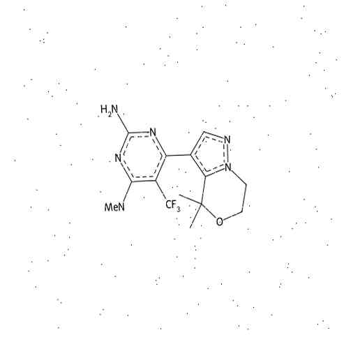 CNc1nc(N)nc(-c2cnn3c2C(C)(C)OCC3)c1C(F)(F)F